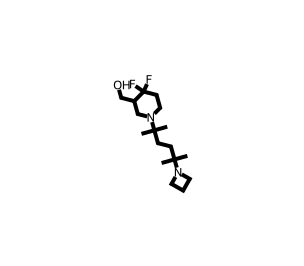 CC(C)(CCC(C)(C)N1CCC(F)(F)C(CO)C1)N1CCC1